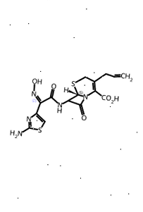 C=CCC1=C(C(=O)O)N2C(=O)C(NC(=O)/C(=N\O)c3csc(N)n3)[C@@H]2SC1